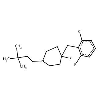 CC(C)(C)CCN1CCC(F)(Cc2c(F)cccc2Cl)CC1